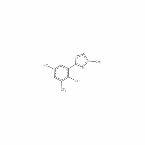 Cn1ncc(-c2cc(C#N)cc(C(F)(F)F)c2O)n1